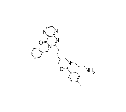 Cc1ccc(C(=O)N(CCCN)CC(C)CCc2nc3nccnc3c(=O)n2Cc2ccccc2)cc1